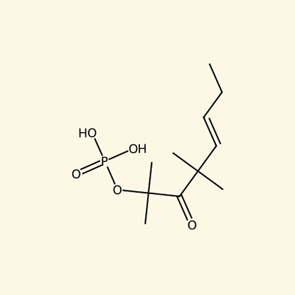 CCC=CC(C)(C)C(=O)C(C)(C)OP(=O)(O)O